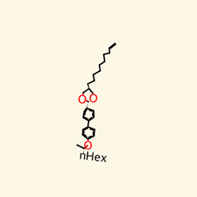 C=CCCCCCCCC[C@H]1CO[C@H](c2ccc(-c3ccc(O[C@@H](C)CCCCCC)cc3)cc2)OC1